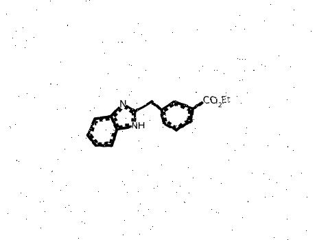 CCOC(=O)c1cccc(Cc2nc3ccccc3[nH]2)c1